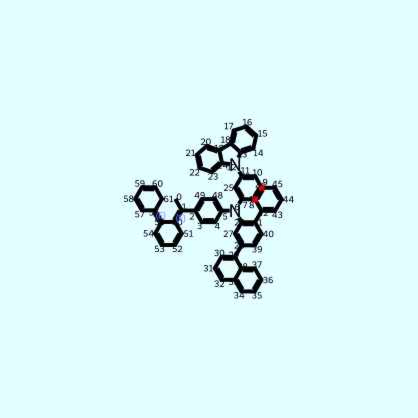 C/C(c1ccc(N(c2cccc(-n3c4ccccc4c4ccccc43)c2)c2cc(-c3cccc4ccccc34)ccc2-c2ccccc2)cc1)=c1/cccc/c1=C1\C=CC=CC1